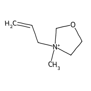 C=CC[N+]1(C)CCOC1